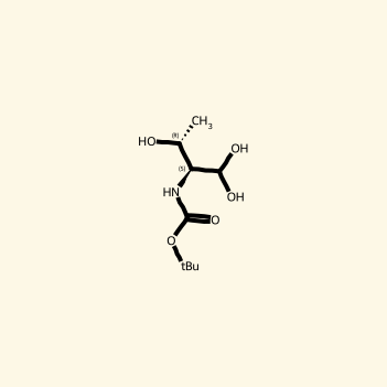 C[C@@H](O)[C@H](NC(=O)OC(C)(C)C)C(O)O